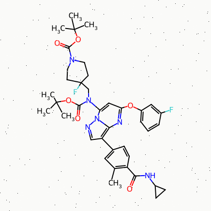 Cc1cc(-c2cnn3c(N(CC4(F)CCN(C(=O)OC(C)(C)C)CC4)C(=O)OC(C)(C)C)cc(Oc4cccc(F)c4)nc23)ccc1C(=O)NC1CC1